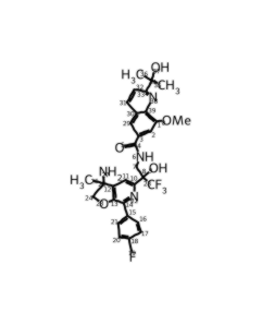 COc1cc(C(=O)NCC(O)(c2cc3c(c(-c4ccc(F)cc4)n2)OCC3(C)N)C(F)(F)F)cc2ccc(C(C)(C)O)nc12